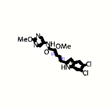 CO/C(=C\C=C\c1cc2cc(Cl)c(Cl)cc2[nH]1)C(=O)Nc1cnc(OC)nc1